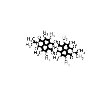 Cc1c(C)c2c3c(c(C)c(C)c4c3c1C(=O)N(C(C)C)C4=O)C(=O)N(N1C(=O)c3c(C)c(C)c4c5c(c(C)c(C)c(c35)C1=O)C(=O)N(C(C)C)C4=O)C2=O